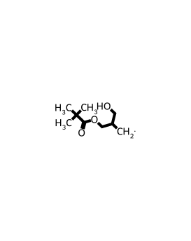 [CH2]C(CO)COC(=O)C(C)(C)C